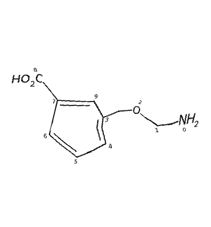 NCOc1cccc(C(=O)O)c1